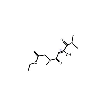 C=C(CN(C)C(=O)/C=C(\O)C(=O)N(C)C)OCC